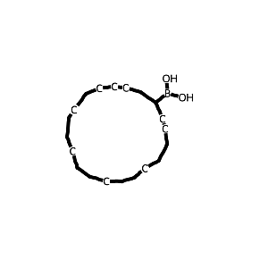 OB(O)C1CCCCCCCCCCCCCCCCCCC1